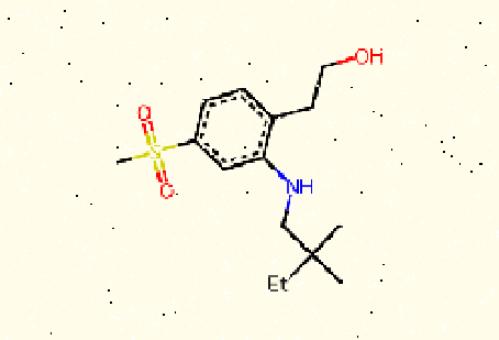 CCC(C)(C)CNc1cc(S(C)(=O)=O)ccc1CCO